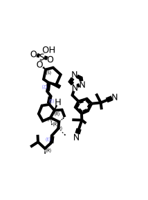 C=C1CC[C@H](OS(=O)(=O)O)C/C1=C/C=C1\CCC[C@]2(C)[C@@H]([C@H](C)/C=C/[C@H](C)C(C)C)CC[C@@H]12.CC(C)(C#N)c1cc(Cn2cncn2)cc(C(C)(C)C#N)c1